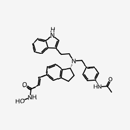 CC(=O)Nc1ccc(CN(CCc2c[nH]c3ccccc23)[C@@H]2CCc3cc(/C=C/C(=O)NO)ccc32)cc1